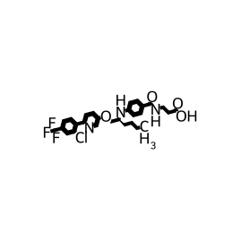 CCCC[C@@H](COc1ccc(-c2ccc(C(F)(F)F)cc2Cl)nc1)Nc1ccc(C(=O)NCCC(=O)O)cc1